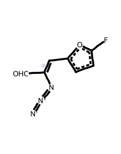 [N-]=[N+]=N/C(C=O)=C\c1ccc(F)o1